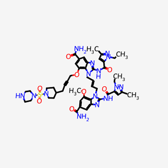 CCn1nc(C)cc1C(=O)Nc1nc2cc(C(N)=O)cc(OC)c2n1C/C=C/Cn1c(NC(=O)c2cc(C)nn2CC)nc2cc(C(N)=O)cc(OCC#CCC3CCN(S(=O)(=O)N4CCNCC4)CC3)c21